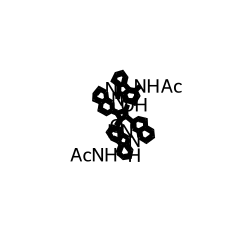 CC(=O)Nc1cccc2c1-c1ccccc1C21N=c2cccc3cc/c(=C4\C(=O)C(c5ccc6cccc7c6c5NC5(N7)c6ccccc6-c6c(NC(C)=O)cccc65)=C4O)c(c23)N1